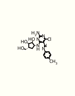 Cc1ccc(/N=N/c2c(Cl)nc(N)nc2N[C@@H]2C[C@H](CO)[C@@H](O)[C@H]2O)cc1